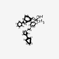 C[C@@H](O)C(Oc1ccc2sc(C3CCCCC3)nc2c1)N1CCN(CCn2cc(-c3ccccc3)cn2)CC1